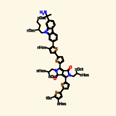 CCCCCCCCCCCCC(CCCCCCCCCC)Cn1c2cc(-c3sc(-c4ccc(C5=C6C(=O)N(CC(CCCCCC)CCCCCCCC)C(c7ccc(-c8cc(CCCCCC)c(C(C)(C)C)s8)s7)=C6C(=O)N5CC(CCCCCC)CCCCCCCC)s4)cc3CCCCCC)ccc2c2ccc(C(C)(C)N)cc21